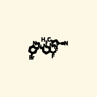 Cc1cc(C#N)nn1-c1nc(-n2cnc3ccc(Br)cc32)ccc1C(F)F